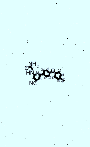 N#Cc1cc(NCC(N)=O)nc(-c2ccc(Oc3ccc(F)cc3)cc2)c1